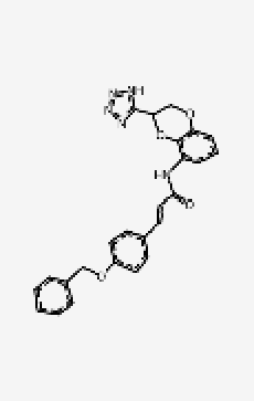 O=C(C=Cc1ccc(OCc2ccccc2)cc1)Nc1cccc2c1OC(c1nnn[nH]1)CO2